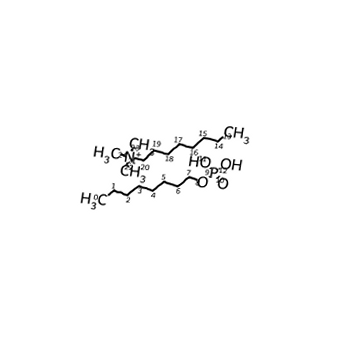 CCCCCCCCOP(=O)(O)O.CCCCCCCC[N+](C)(C)C